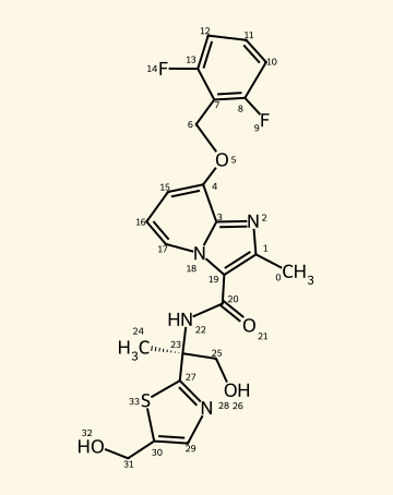 Cc1nc2c(OCc3c(F)cccc3F)cccn2c1C(=O)N[C@@](C)(CO)c1ncc(CO)s1